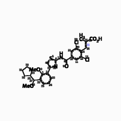 COc1c(-c2csc(NC(=O)c3cc(Cl)c(/C=C(\C)C(=O)O)c(Cl)c3)n2)cccc1C(OC)C1CCCC1